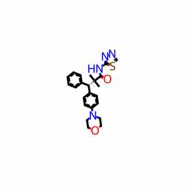 CC(C)(C(=O)Nc1nncs1)[C@@H](c1ccccc1)c1ccc(N2CCOCC2)cc1